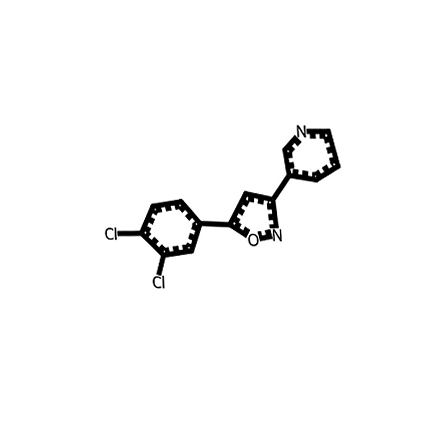 Clc1ccc(-c2cc(-c3cccnc3)no2)cc1Cl